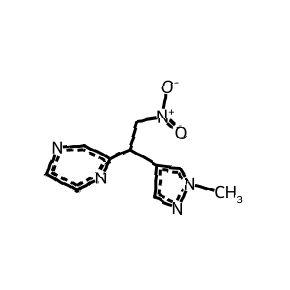 Cn1cc(C(C[N+](=O)[O-])c2cnccn2)cn1